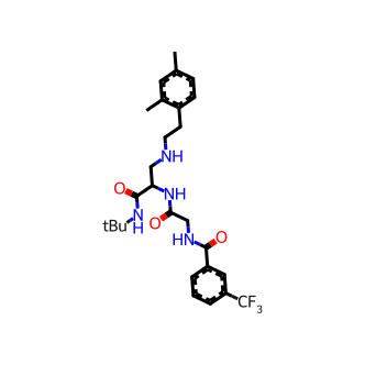 Cc1ccc(CCNCC(NC(=O)CNC(=O)c2cccc(C(F)(F)F)c2)C(=O)NC(C)(C)C)c(C)c1